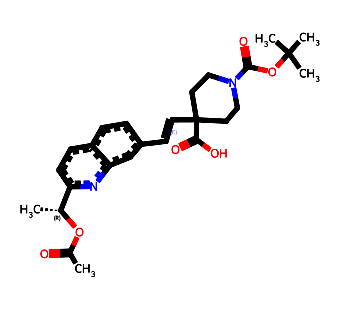 CC(=O)O[C@H](C)c1ccc2ccc(/C=C/C3(C(=O)O)CCN(C(=O)OC(C)(C)C)CC3)cc2n1